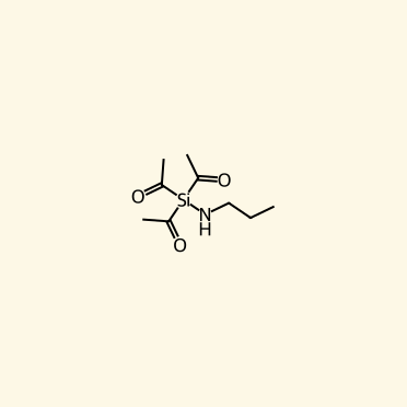 CCCN[Si](C(C)=O)(C(C)=O)C(C)=O